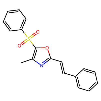 Cc1nc(/C=C/c2ccccc2)oc1S(=O)(=O)c1ccccc1